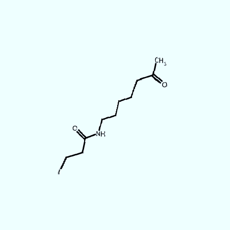 CC(=O)CCCCCNC(=O)CCI